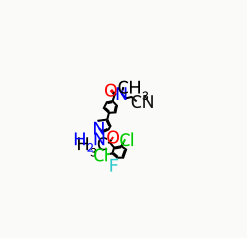 CC(Oc1cc(-c2ccc(C(=O)N(C)CCC#N)cc2)cnc1N)c1c(Cl)ccc(F)c1Cl